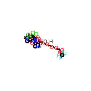 CCC1CC(C)(C)N2CCCc3c4c(cc1c32)C1(c2cc3c5c(c2O4)CCCN5C(C)(C)C=C3CS(=O)(=O)O)c2c(Cl)c(Cl)c(Cl)c(Cl)c2C(=O)N1NC(=O)CCOCCOCCOCCOCCC(=O)Oc1c(F)c(F)cc(F)c1F